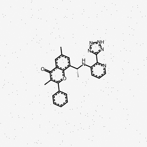 Cc1cc([C@@H](C)Nc2cccnc2-c2nn[nH]n2)c2oc(-c3ccccc3)c(C)c(=O)c2c1